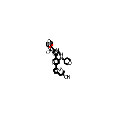 CC(C)(C)OC(=O)N1CC2CN(c3nnc(-c4cnc(-c5ccc6cc(C#N)cnn56)cc4NC4CCOCC4)s3)CC1CO2